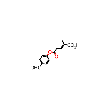 CC(=CCC(=O)Oc1ccc(C=O)cc1)C(=O)O